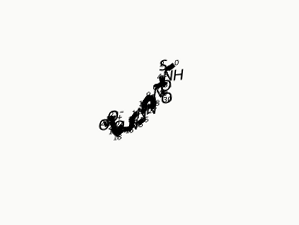 CC(=S)NCC1CN(c2ccc(N3CCN(Cc4ccc([N+](=O)[O-])o4)CC3)nc2)C(=O)O1